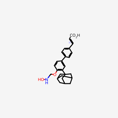 O=C(O)/C=C/c1ccc(-c2ccc(OCNO)c(C34CC5CC(CC(C5)C3)C4)c2)cc1